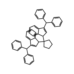 C1=C(C(c2ccccc2)c2ccccc2)c2ccccc2C1C1(C2C=C(C(c3ccccc3)c3ccccc3)c3ccccc32)CCCC1